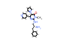 Cn1c(NC[C@H](N)Cc2ccccc2)nc(-c2ccncc2)c(-n2cccc2)c1=O